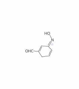 O=CC1=C/C(=N\O)C=CC1